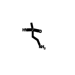 CS(=N)(=O)CCN